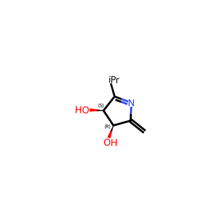 C=C1N=C(C(C)C)[C@H](O)[C@@H]1O